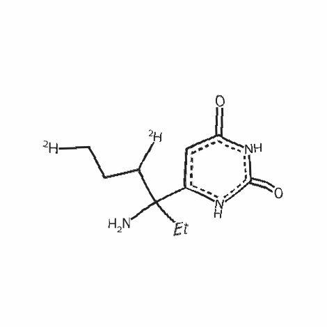 [2H]CCC([2H])C(N)(CC)c1cc(=O)[nH]c(=O)[nH]1